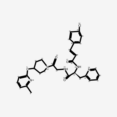 Cc1cccc(OC2CCN(C(=O)CNC(=O)[C@H](Cc3ccccn3)NC(=O)C=Cc3ccc(Cl)cc3)CC2)n1